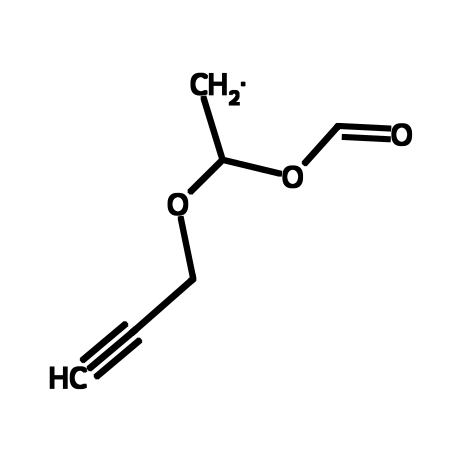 C#CCOC([CH2])OC=O